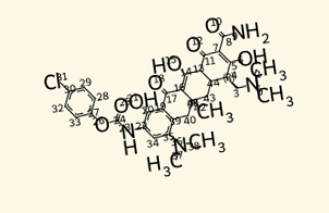 CN(C)C[C@@H]1C(O)=C(C(N)=O)C(=O)C2C(O)=C3C(=O)c4c(O)c(NC(=O)Oc5ccc(Cl)cc5)cc(N(C)C)c4C[C@@]3(C)CC21